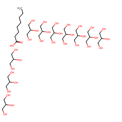 CCCCCCCC(=O)O.OCC(O)CO.OCC(O)CO.OCC(O)CO.OCC(O)CO.OCC(O)CO.OCC(O)CO.OCC(O)CO.OCC(O)CO.OCC(O)CO.OCC(O)CO